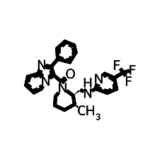 C[C@@H]1CCCN(C(=O)c2c(-c3ccccc3)nc3ccccn23)[C@@H]1CNc1ccc(C(F)(F)F)cn1